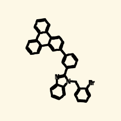 Brc1ccccc1Cn1c(-c2cccc(-c3ccc4c5ccccc5c5ccccc5c4c3)c2)nc2ccccc21